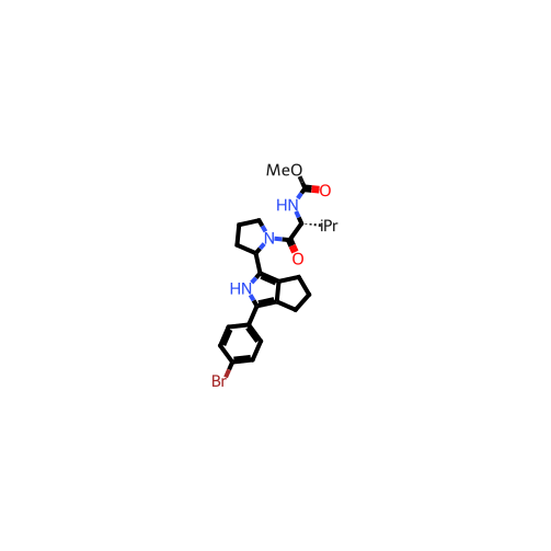 COC(=O)N[C@@H](C(=O)N1CCCC1c1[nH]c(-c2ccc(Br)cc2)c2c1CCC2)C(C)C